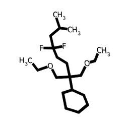 CCOCC(CCC(F)(F)CC(C)C)(COCC)C1CCCCC1